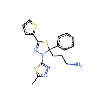 Cc1nnc(N2N=C(c3cccs3)SC2(CCCN)c2ccccc2)s1